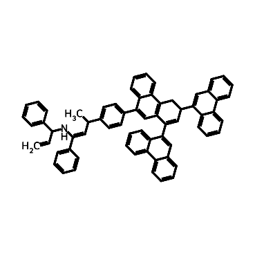 C=CC(N/C(=C\C(C)c1ccc(-c2cc3c(c4ccccc24)CC(c2cc4ccccc4c4ccccc24)C=C3c2cc3ccccc3c3ccccc23)cc1)c1ccccc1)c1ccccc1